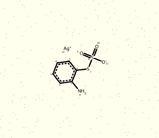 Nc1ccccc1SS(=O)(=O)[O-].[Ag+]